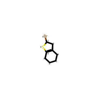 BrC1CC2=C(CCCC2)S1